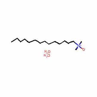 CCCCCCCCCCCCCC[N+](C)(C)[O-].O.O